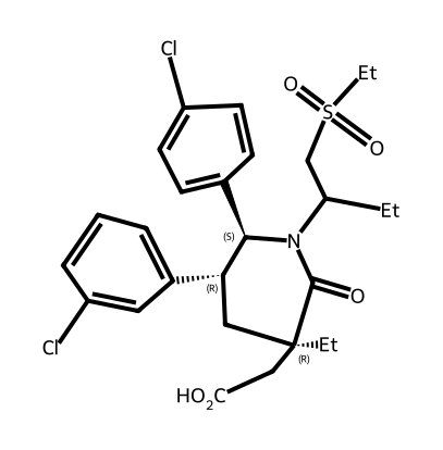 CCC(CS(=O)(=O)CC)N1C(=O)[C@@](CC)(CC(=O)O)C[C@H](c2cccc(Cl)c2)[C@H]1c1ccc(Cl)cc1